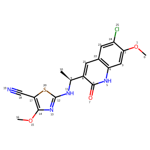 COc1cc2[nH]c(=O)c([C@H](C)Nc3nc(OC)c(C#N)s3)cc2cc1Cl